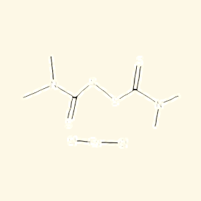 CN(C)C(=S)SSC(=S)N(C)C.[Cl][Cu][Cl]